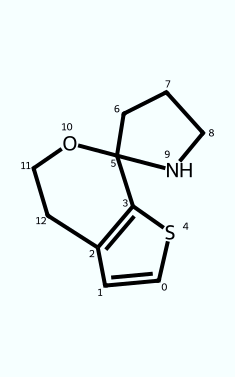 c1cc2c(s1)C1(CCCN1)OCC2